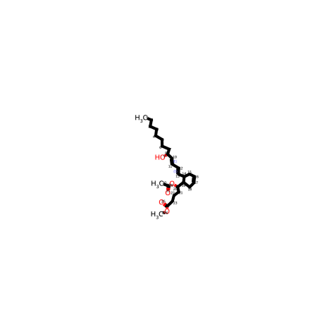 CCCCCCCCC(O)/C=C/C=C/C1CC=CCC1C(CCCC(=O)OC)OC(C)=O